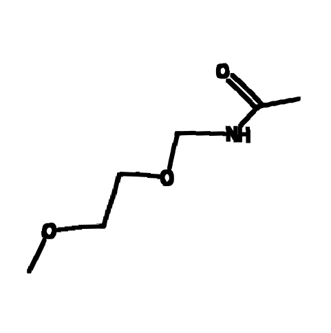 COCCOCNC(C)=O